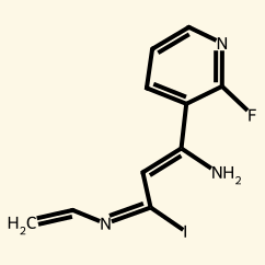 C=C/N=C(I)\C=C(/N)c1cccnc1F